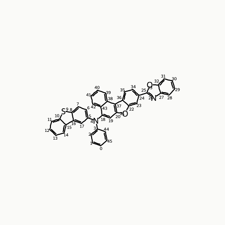 c1ccc(N(c2ccc3sc4ccccc4c3c2)c2cc3oc4cc(-c5nc6ccccc6o5)ccc4c3c3ccccc23)cc1